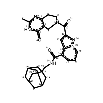 Cc1nc2c(c(=O)[nH]1)CN(C(=O)c1cc3c(C(=O)NCC45CC6CC(CC(C6)C4)C5)cccn3n1)CC2